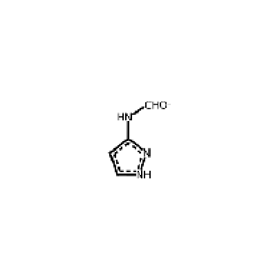 O=[C]Nc1cc[nH]n1